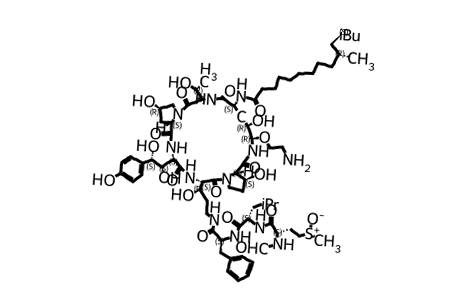 CC[C@H](C)C[C@H](C)CCCCCCCCC(=O)N[C@H]1C[C@@H](O)[C@@H](OCCN)NC(=O)[C@@H]2[C@@H](O)CCN2C(=O)[C@H]([C@H](O)CCNC(=O)[C@H](Cc2ccccc2)NC(=O)[C@H](CC(C)C)NC(=O)[C@H](CC[S+](C)[O-])NC=O)NC(=O)[C@H]([C@H](O)[C@@H](O)c2ccc(O)cc2)NC(=O)[C@@H]2C[C@@H](O)CN2C(=O)[C@H]([C@@H](C)O)NC1=O